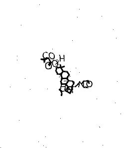 C=C(C)[C@@H]1CC[C@]2(CCN3CCOCC3)CC[C@]3(C)[C@H](CCC4[C@@]5(C)CC[C@H](OC(=O)CC(C)(C)C(=O)O)C(C)(C)C5CC[C@]43C)[C@@H]12